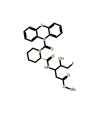 CC(C)(C)OC(=O)CC(NC(=O)[C@@H]1CCCCN1C(=O)N1c2ccccc2Sc2ccccc21)C(O)CF